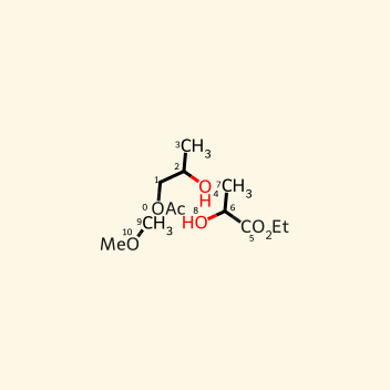 CC(=O)OCC(C)O.CCOC(=O)C(C)O.COC